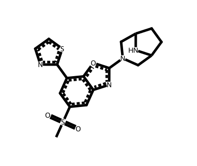 CS(=O)(=O)c1cc(-c2nccs2)c2oc(N3CC4CCC(C3)N4)nc2c1